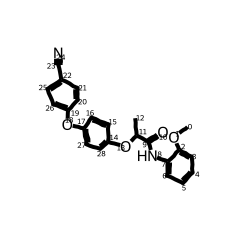 COc1ccccc1NC(=O)C(C)Oc1ccc(Oc2ccc(C#N)cc2)cc1